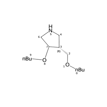 CCCCOC[C@H]1CNCC1OCCCC